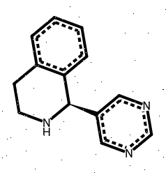 c1ccc2c(c1)CCN[C@@H]2c1cncnc1